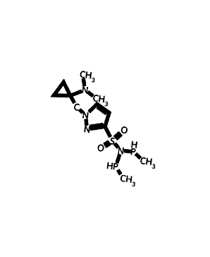 CPN(PC)S(=O)(=O)c1ccn(CC2(N(C)C)CC2)n1